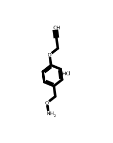 C#CCOc1ccc(CON)cc1.Cl